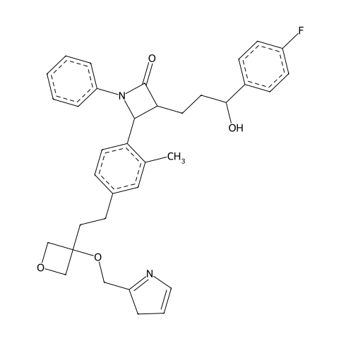 Cc1cc(CCC2(OCC3=NC=CC3)COC2)ccc1C1C(CCC(O)c2ccc(F)cc2)C(=O)N1c1ccccc1